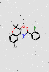 CC(=O)c1ccc2c(c1)[C@@H](NC(=O)c1ccccc1Br)[C@H](O)C(C)(C)O2